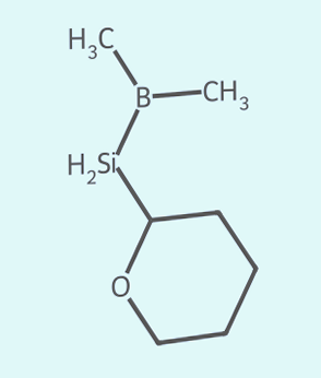 CB(C)[SiH2]C1CCCCO1